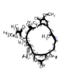 CN[C@@H](C)C(=O)O[C@H]1CC(=O)N(C)c2cc(cc(OC)c2Cl)C/C(C)=C/C=C/[C@@H](O)[C@@]2(O)C[C@H](OC(O)N2)[C@H](C)[C@H]2O[C@@]12C